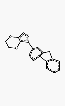 c1ccc2c(c1)Cc1cc(-c3scc4c3OCCO4)ccc1-2